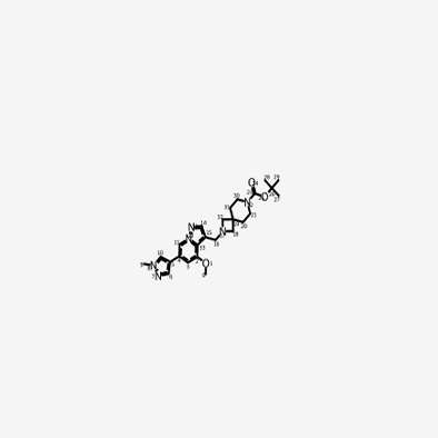 COc1cc(-c2cnn(C)c2)cn2ncc(CN3CC4(CCN(C(=O)OC(C)(C)C)CC4)C3)c12